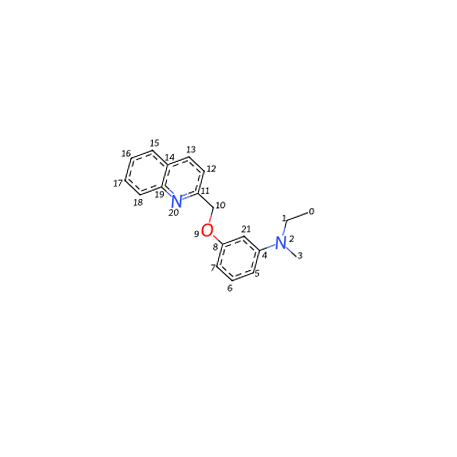 CCN(C)c1cccc(OCc2ccc3ccccc3n2)c1